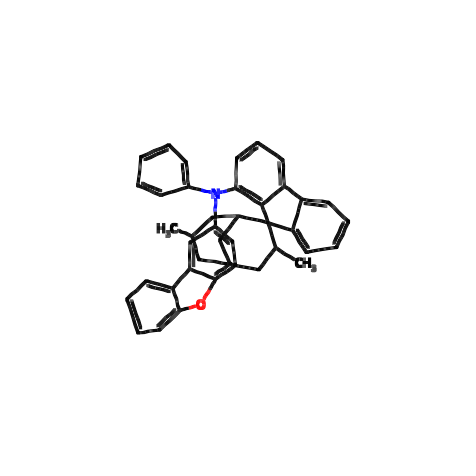 CC1CC2CC(C)C3(c4ccccc4-c4cccc(N(c5ccccc5)c5ccc6oc7ccccc7c6c5)c43)C(C1)C2